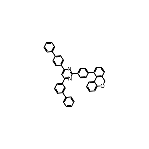 c1ccc(-c2ccc(-c3cc(-c4cccc(-c5ccccc5)c4)nc(-c4ccc(-c5cccc6c5-c5ccccc5OC6)cc4)n3)cc2)cc1